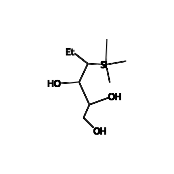 CCC(C(O)C(O)CO)[Si](C)(C)C